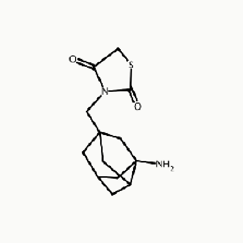 NC12CC3CC1CC(CN1C(=O)CSC1=O)(C3)C2